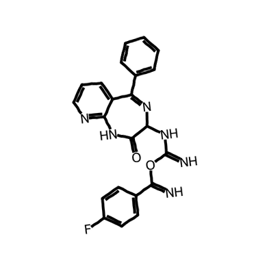 N=C(NC1N=C(c2ccccc2)c2cccnc2NC1=O)OC(=N)c1ccc(F)cc1